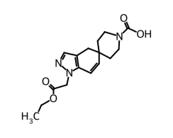 CCOC(=O)Cn1ncc2c1C=CC1(CCN(C(=O)O)CC1)C2